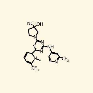 CN1C(C(F)(F)F)=CC=CC1c1nc(Nc2ccnc(C(F)(F)F)c2)nc(N2CCC(O)(C#N)C2)n1